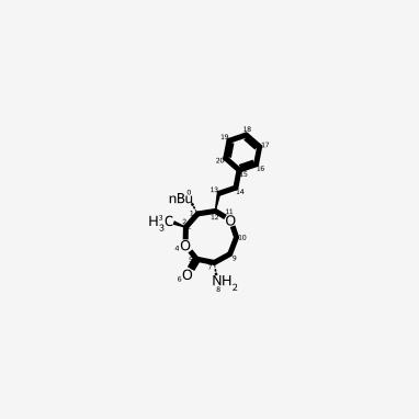 CCCC[C@H]1[C@H](C)OC(=O)[C@@H](N)CCO[C@@H]1CCc1ccccc1